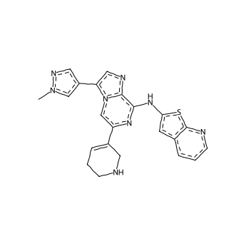 Cn1cc(-c2cnc3c(Nc4cc5cccnc5s4)nc(C4=CCCNC4)cn23)cn1